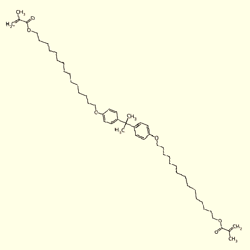 C=C(C)C(=O)OCCCCCCCCCCCCCCCOc1ccc(C(C)(C)c2ccc(OCCCCCCCCCCCCCCCOC(=O)C(=C)C)cc2)cc1